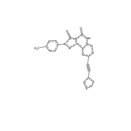 Cc1ccc(-n2nc3c4cc(C#Cc5ccsc5)ccc4[nH]c(=O)n3c2=O)cc1